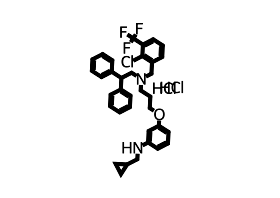 Cl.Cl.FC(F)(F)c1cccc(CN(CCCOc2cccc(NCC3CC3)c2)CC(c2ccccc2)c2ccccc2)c1Cl